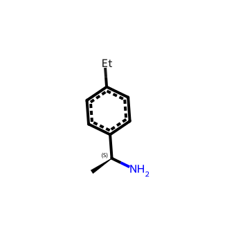 CCc1ccc([C@H](C)N)cc1